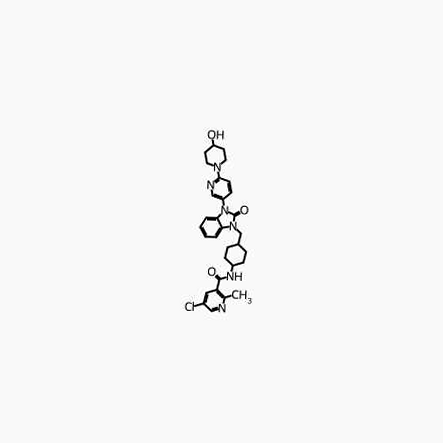 Cc1ncc(Cl)cc1C(=O)NC1CCC(Cn2c(=O)n(-c3ccc(N4CCC(O)CC4)nc3)c3ccccc32)CC1